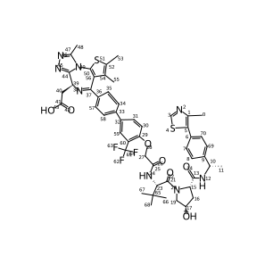 Cc1ncsc1-c1ccc([C@H](C)NC(=O)[C@@H]2C[C@@H](O)CN2C(=O)[C@@H](NC(=O)COc2ccc(-c3ccc(C4=N[C@@H](CC(=O)O)c5nnc(C)n5-c5sc(C)c(C)c54)cc3)cc2C(F)(F)F)C(C)(C)C)cc1